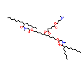 CCCCCCCCC(CCCCCC)C(=O)N(C)CC(=O)OCCCCCC(CCCCCOC(=O)CN(C)C(=O)C(CCCCCC)CCCCCCCC)OC(=O)CCCC(=O)OCCCN(C)C